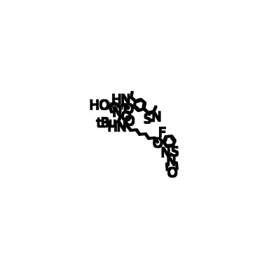 Cc1ncsc1-c1ccc(C(C)NC(=O)[C@@H]2C[C@@H](O)CN2C(=O)C(NC(=O)CCCCCCOc2c(F)ccc3sc(N4CCOCC4)nc23)C(C)(C)C)cc1